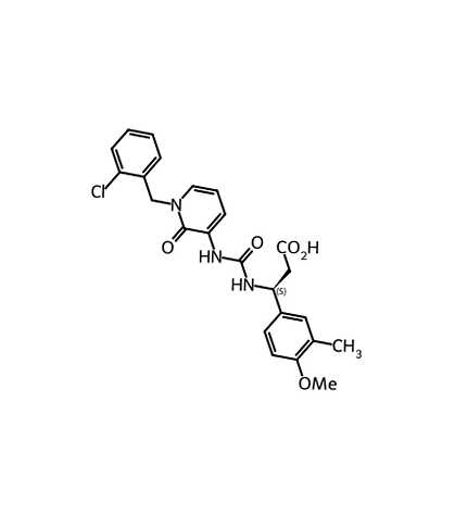 COc1ccc([C@H](CC(=O)O)NC(=O)Nc2cccn(Cc3ccccc3Cl)c2=O)cc1C